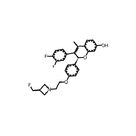 CC1=C(c2ccc(F)c(F)c2)[C@H](c2ccc(OCCN3CC(CF)C3)cc2)Oc2cc(O)ccc21